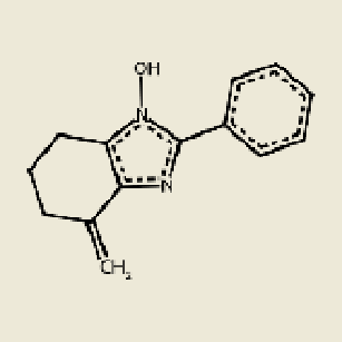 C=C1CCCc2c1nc(-c1ccccc1)n2O